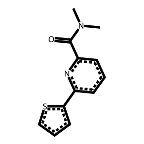 CN(C)C(=O)c1cccc(-c2cccs2)n1